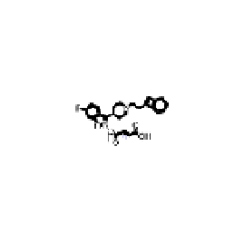 Fc1ccc2c(C3CCN(CCC4=Cc5ccccc54)CC3)noc2c1.O=C(O)/C=C/C(=O)O